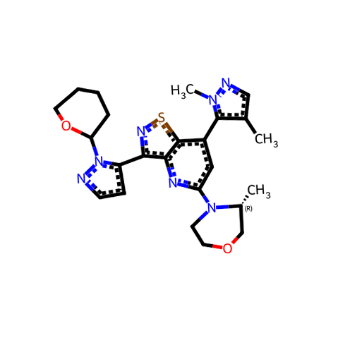 Cc1cnn(C)c1-c1cc(N2CCOC[C@H]2C)nc2c(-c3ccnn3C3CCCCO3)nsc12